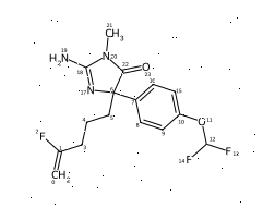 C=C(F)CCCC1(c2ccc(OC(F)F)cc2)N=C(N)N(C)C1=O